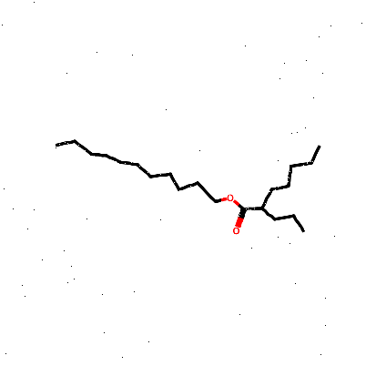 CCCCCCCCCCCOC(=O)C(CCC)CCCCC